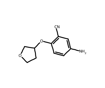 N#Cc1cc(N)ccc1OC1CCOC1